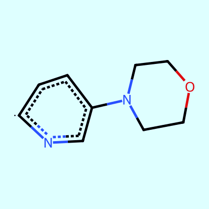 [c]1ccc(N2CCOCC2)cn1